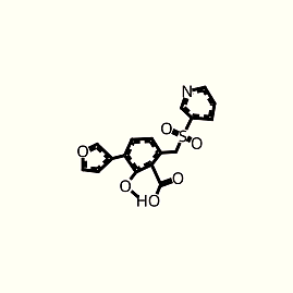 COc1c(-c2ccoc2)ccc(CS(=O)(=O)c2cccnc2)c1C(=O)O